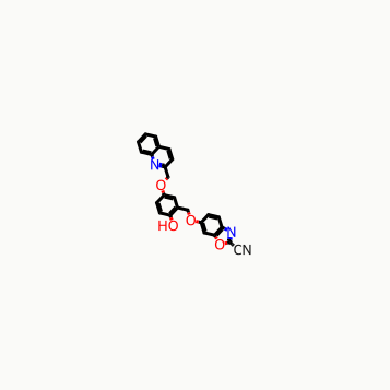 N#Cc1nc2ccc(OCc3cc(OCc4ccc5ccccc5n4)ccc3O)cc2o1